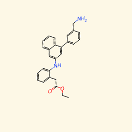 CCOC(=O)Cc1ccccc1Nc1cc(-c2cccc(CN)c2)c2ccccc2c1